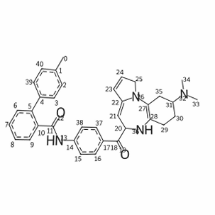 Cc1ccc(-c2ccccc2C(=O)Nc2ccc(C(=O)C3C=C4C=CCN4C4=C(CCC(N(C)C)C4)N3)cc2)cc1